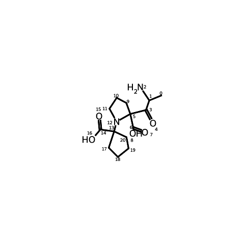 CC(N)C(=O)C1(C(=O)O)CCCN1C1(C(=O)O)CCCC1